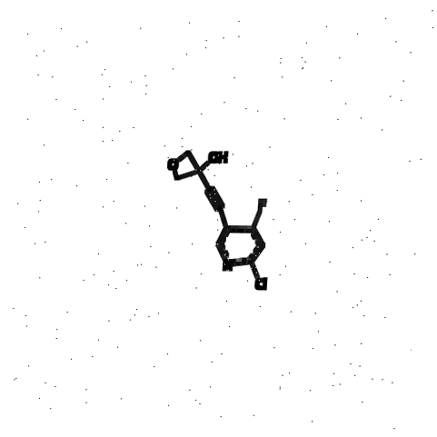 OC1(C#Cc2cnc(Cl)cc2F)COC1